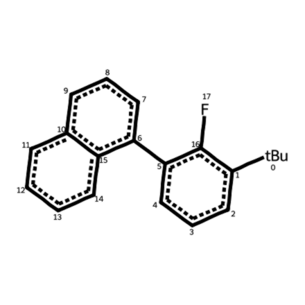 CC(C)(C)c1cccc(-c2cccc3ccccc23)c1F